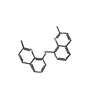 Cc1ccc2ccc[c]([Al][c]3cccc4ccc(C)nc34)c2n1